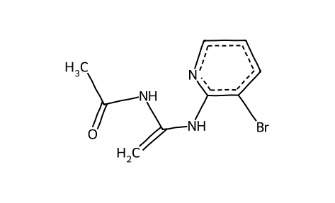 C=C(NC(C)=O)Nc1ncccc1Br